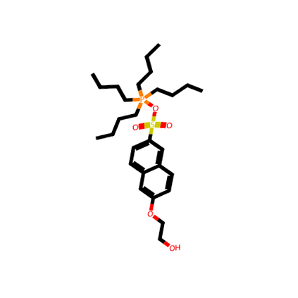 CCCCP(CCCC)(CCCC)(CCCC)OS(=O)(=O)c1ccc2cc(OCCO)ccc2c1